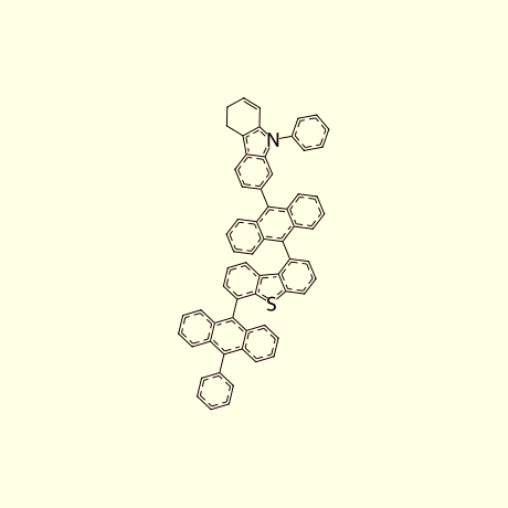 C1=Cc2c(c3ccc(-c4c5ccccc5c(-c5cccc6sc7c(-c8c9ccccc9c(-c9ccccc9)c9ccccc89)cccc7c56)c5ccccc45)cc3n2-c2ccccc2)CC1